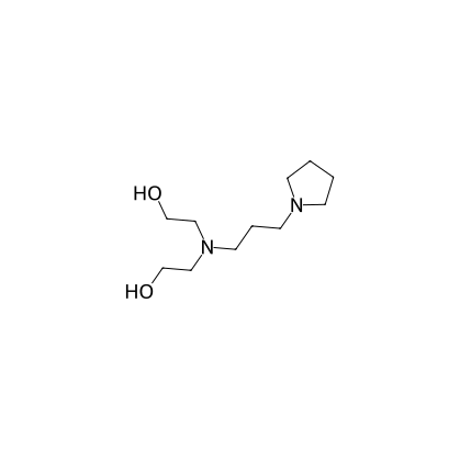 OCCN(CCO)CCCN1CCCC1